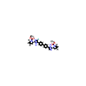 CC(C)(C)OC(=O)N1[C@@H]2C[C@@H]2C[C@H]1c1ncc(-c2ccc(-c3ccc(-c4[nH]c([C@@H]5C[C@H]6C[C@H]6N5C(=O)OC(C)(C)C)nc4F)cc3)cc2)[nH]1